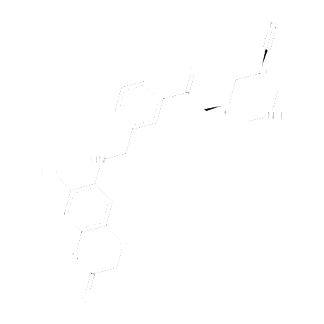 N#C[C@H]1CNC[C@@H](CC(=O)c2cccc(CNc3cc4c(cc3O)NC(=O)CO4)c2)C1